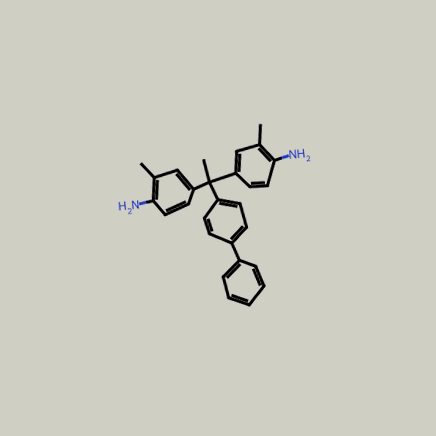 Cc1cc(C(C)(c2ccc(-c3ccccc3)cc2)c2ccc(N)c(C)c2)ccc1N